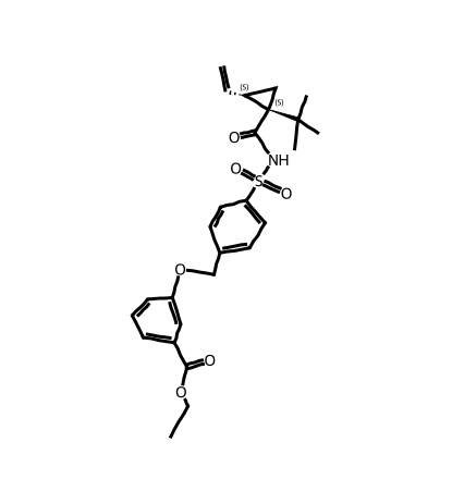 C=C[C@@H]1C[C@@]1(C(=O)NS(=O)(=O)c1ccc(COc2cccc(C(=O)OCC)c2)cc1)C(C)(C)C